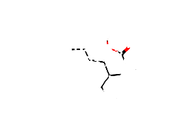 CC(=O)OS.CCCCC(C)CC